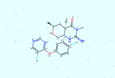 C[C@H]1C[C@H]2C(=O)N(C)C(=N)N[C@@]2(c2cc(Oc3ncncc3F)ccc2F)CO1